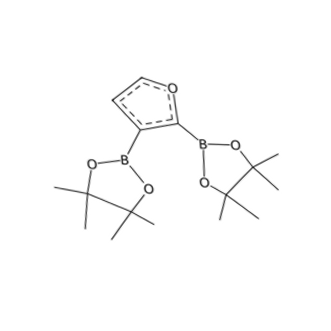 CC1(C)OB(c2ccoc2B2OC(C)(C)C(C)(C)O2)OC1(C)C